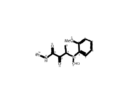 COc1ccccc1N(C=O)C(C)C(=O)C(=O)NC(C)C